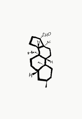 CC(=O)[C@]12CC[C@H]3[C@@H](CC[C@H]4C[C@H](C)CC[C@@]43C)[C@@H]1CC[C@@H]2C=O